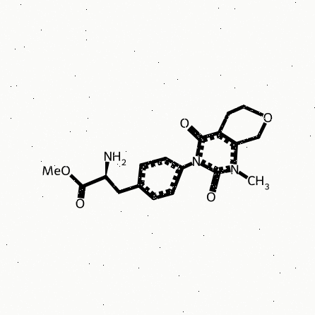 COC(=O)[C@@H](N)Cc1ccc(-n2c(=O)c3c(n(C)c2=O)COCC3)cc1